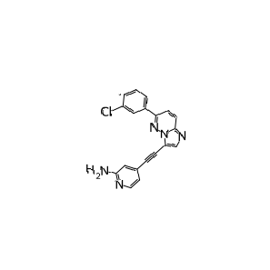 Nc1cc(C#Cc2cnc3ccc(-c4cc[c]c(Cl)c4)nn23)ccn1